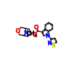 CN1C2COCC1CC(OC(=O)c1cn(-c3ccsn3)c3ccccc13)C2